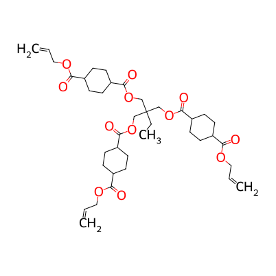 C=CCOC(=O)C1CCC(C(=O)OCC(CC)(COC(=O)C2CCC(C(=O)OCC=C)CC2)COC(=O)C2CCC(C(=O)OCC=C)CC2)CC1